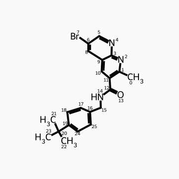 Cc1nc2ncc(Br)cc2cc1C(=O)NCc1ccc(C(C)(C)C)cc1